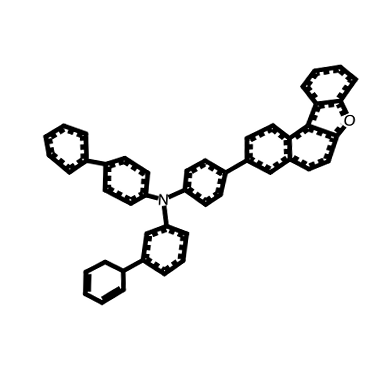 C1=CCC(c2cccc(N(c3ccc(-c4ccccc4)cc3)c3ccc(-c4ccc5c(ccc6oc7ccccc7c65)c4)cc3)c2)C=C1